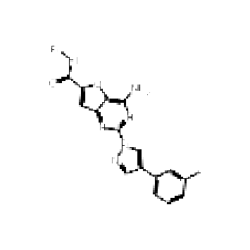 CCNC(=O)c1cc2nc(-n3cc(-c4cccc(C)c4)cn3)nc(N)c2o1